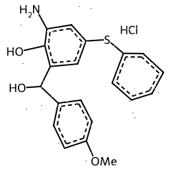 COc1ccc(C(O)c2cc(Sc3ccccc3)cc(N)c2O)cc1.Cl